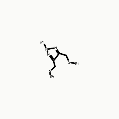 CCSCc1nn(C(C)C)nc1CSC(C)C